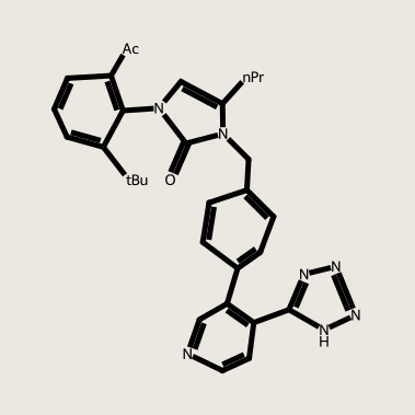 CCCc1cn(-c2c(C(C)=O)cccc2C(C)(C)C)c(=O)n1Cc1ccc(-c2cnccc2-c2nnn[nH]2)cc1